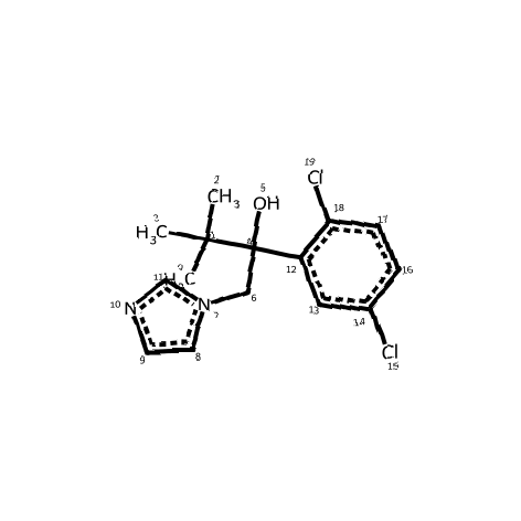 CC(C)(C)C(O)(Cn1ccnc1)c1cc(Cl)ccc1Cl